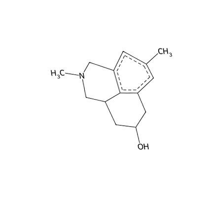 Cc1cc2c3c(c1)CN(C)CC3CC(O)C2